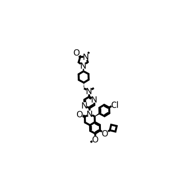 COc1cc2c(cc1OC1CCC1)[C@H](c1ccc(Cl)cc1)N(c1cnc(N(C)C[C@H]3CC[C@H](N4CC(=O)N(C)C4)CC3)cn1)C(=O)C2